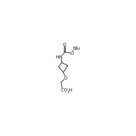 CC(C)(C)OC(=O)NC1CC(OCC(=O)O)C1